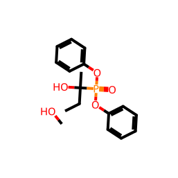 CCC(C)(O)P(=O)(Oc1ccccc1)Oc1ccccc1.CO